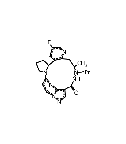 CCCN1NC(=O)c2cnn3ccc(nc23)N2CCCC2c2cc(F)cnc2CC1C